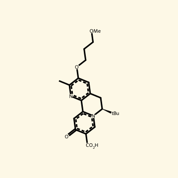 COCCCOc1cc2c(nc1C)-c1cc(=O)c(C(=O)O)cn1[C@H](C(C)(C)C)C2